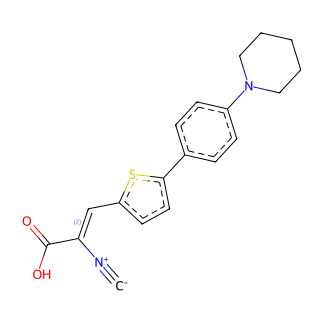 [C-]#[N+]/C(=C\c1ccc(-c2ccc(N3CCCCC3)cc2)s1)C(=O)O